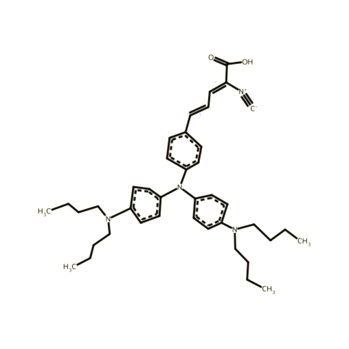 [C-]#[N+]/C(=C\C=C\c1ccc(N(c2ccc(N(CCCC)CCCC)cc2)c2ccc(N(CCCC)CCCC)cc2)cc1)C(=O)O